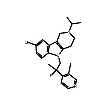 Cc1cnccc1C(C)(F)Cn1c2c(c3cc(Cl)ccc31)CN(C(C)C)CC2